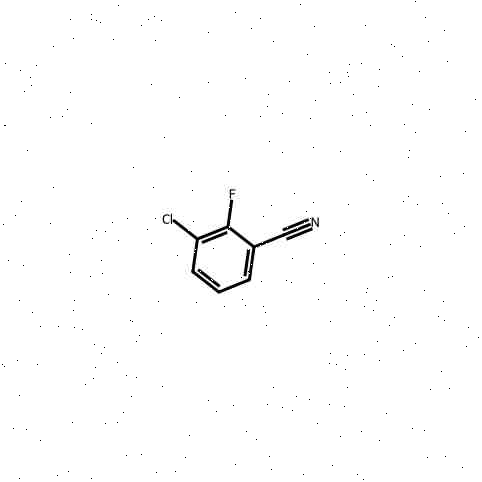 N#Cc1cccc(Cl)c1F